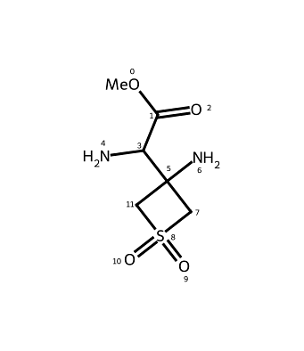 COC(=O)C(N)C1(N)CS(=O)(=O)C1